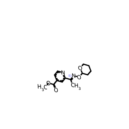 COC(=O)c1ccnc(/C(C)=N/OC2CCCCO2)c1